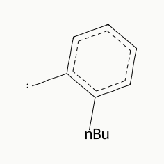 [CH]c1ccccc1CCCC